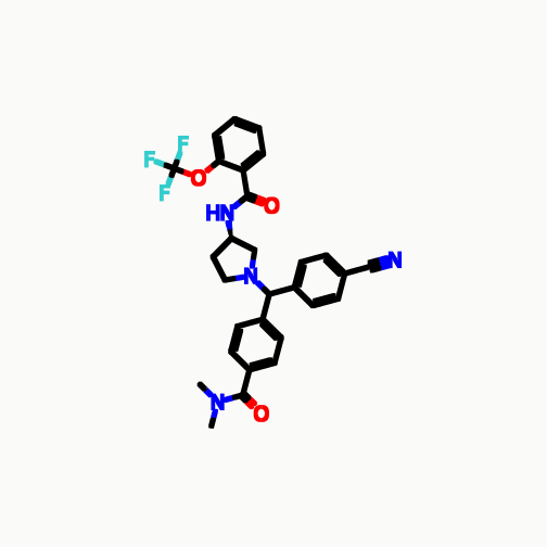 CN(C)C(=O)c1ccc(C(c2ccc(C#N)cc2)N2CC[C@@H](NC(=O)c3ccccc3OC(F)(F)F)C2)cc1